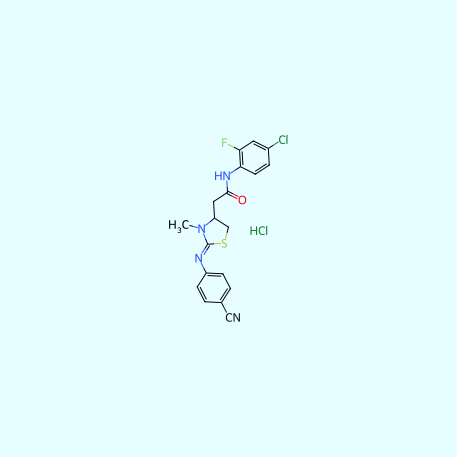 CN1C(=Nc2ccc(C#N)cc2)SCC1CC(=O)Nc1ccc(Cl)cc1F.Cl